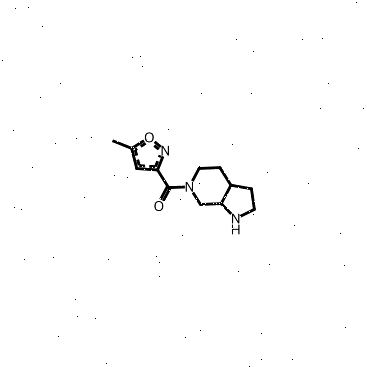 Cc1cc(C(=O)N2CCC3CCNC3C2)no1